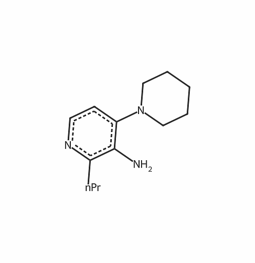 CCCc1nccc(N2CCCCC2)c1N